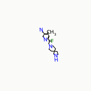 Cc1cc([C@@H](F)CN2CCC3(CCNC3)CC2)ncc1C#N